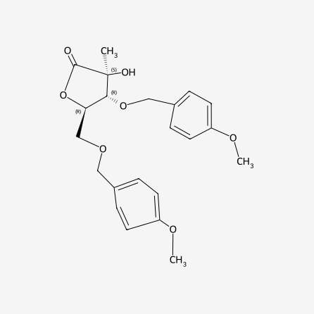 COc1ccc(COC[C@H]2OC(=O)[C@@](C)(O)[C@@H]2OCc2ccc(OC)cc2)cc1